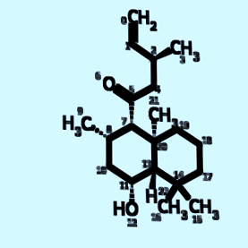 C=C[C@@H](C)CC(=O)[C@H]1[C@@H](C)C[C@@H](O)[C@H]2C(C)(C)CCC[C@]12C